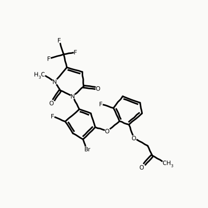 CC(=O)COc1cccc(F)c1Oc1cc(-n2c(=O)cc(C(F)(F)F)n(C)c2=O)c(F)cc1Br